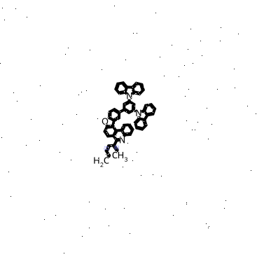 C=C/C=C\C(=C/C)c1nc2ccccc2c2c1ccc1oc3ccc(-c4cc(-n5c6ccccc6c6ccccc65)cc(-n5c6ccccc6c6ccccc65)c4)cc3c12